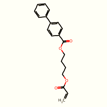 C=CC(=O)OCCCCOC(=O)c1ccc(-c2ccccc2)cc1